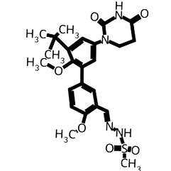 COc1ccc(-c2cc(N3CCC(=O)NC3=O)cc(C(C)(C)C)c2OC)cc1C=NNS(C)(=O)=O